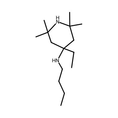 CCCCNC1(CC)CC(C)(C)NC(C)(C)C1